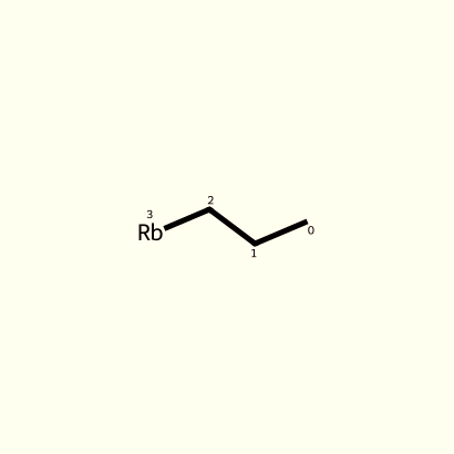 CC[CH2][Rb]